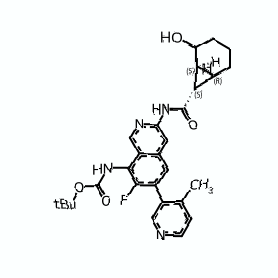 Cc1ccncc1-c1cc2cc(NC(=O)[C@H]3[C@@H]4CCCC(O)[C@@H]43)ncc2c(NC(=O)OC(C)(C)C)c1F